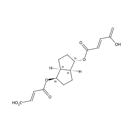 C=C(O)C=CC(=O)O[C@H]1CC[C@H]2[C@@H]1CC[C@H]2OC(=O)C=CC(=O)O